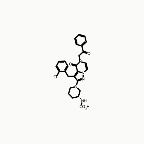 O=C(O)N[C@@H]1CCCN(c2nn3ccn(CC(=O)c4ccccc4)c(=O)c3c2Cc2ccccc2Cl)C1